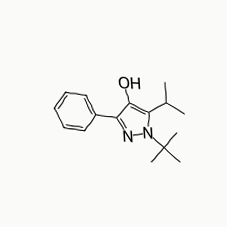 CC(C)c1c(O)c(-c2ccccc2)nn1C(C)(C)C